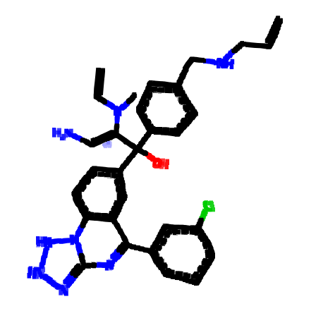 C=CCNCc1ccc(C(O)(/C(=C/N)N(C)C=C)c2ccc3c(c2)C(c2cccc(Cl)c2)=NC2=NNNN23)cc1